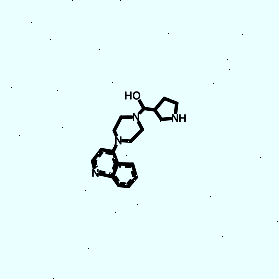 OC(C1CCNC1)N1CCN(c2ccnc3ccccc23)CC1